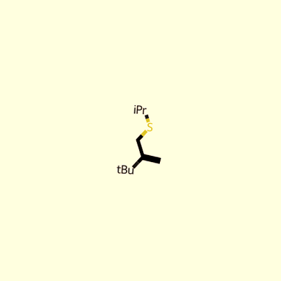 C=C(CSC(C)C)C(C)(C)C